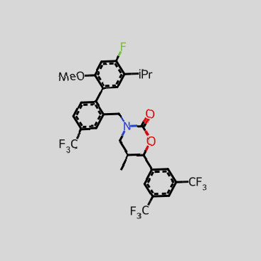 COc1cc(F)c(C(C)C)cc1-c1ccc(C(F)(F)F)cc1CN1CC(C)C(c2cc(C(F)(F)F)cc(C(F)(F)F)c2)OC1=O